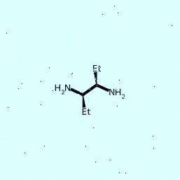 CC[C@@H](N)[C@H](N)CC